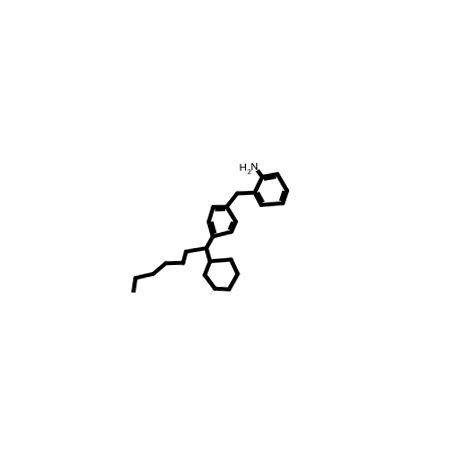 CCCCCCC(c1ccc(Cc2ccccc2N)cc1)C1CCCCC1